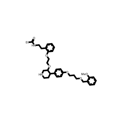 CCC(=O)NCCc1ccccc1OCCOC1CNCCC1c1ccc(OCCCOCc2ccccc2OC)cc1